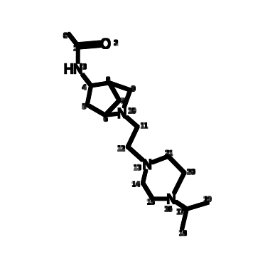 CC(=O)NC1CC2CC1CN2CCN1CCN(C(C)C)CC1